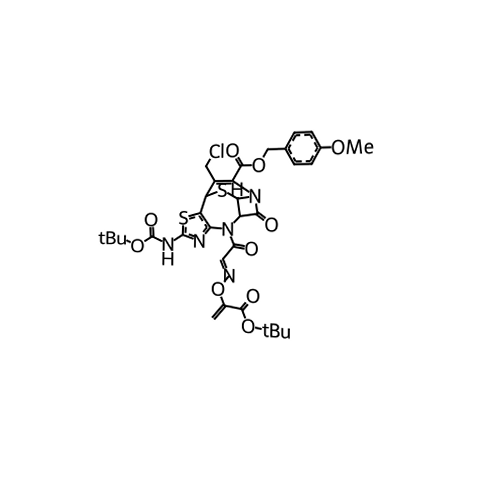 C=C(ON=CC(=O)N1c2nc(NC(=O)OC(C)(C)C)sc2C2S[C@H]3C1C(=O)N3C(C(=O)OCc1ccc(OC)cc1)=C2CCl)C(=O)OC(C)(C)C